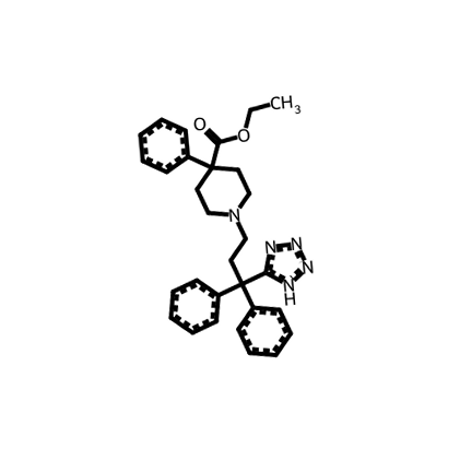 CCOC(=O)C1(c2ccccc2)CCN(CCC(c2ccccc2)(c2ccccc2)c2nnn[nH]2)CC1